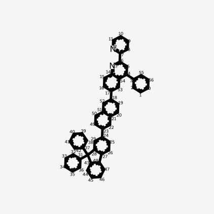 c1ccc(-c2cc(-c3ccccn3)nc3ccc(-c4ccc5cc(-c6ccc7c(c6)C(c6ccccc6)(c6ccccc6)c6ccccc6-7)ccc5c4)cc23)cc1